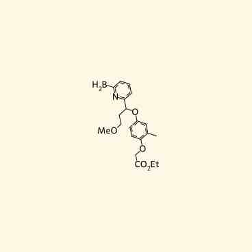 Bc1cccc(C(CCOC)Oc2ccc(OCC(=O)OCC)c(C)c2)n1